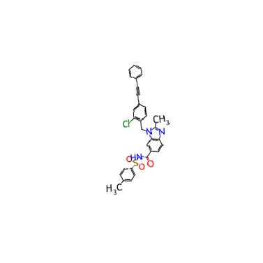 Cc1ccc(S(=O)(=O)NC(=O)c2ccc3nc(C)n(Cc4ccc(C#Cc5ccccc5)cc4Cl)c3c2)cc1